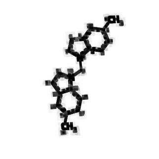 Cc1ccc2c(ccn2Cn2ccc3cc(C)ccc32)c1